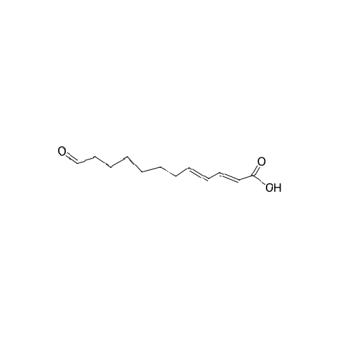 O=CCCCCCCC=CC=CC(=O)O